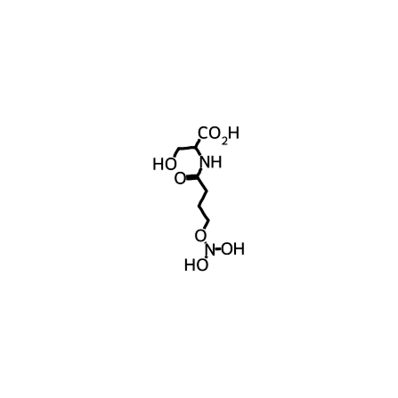 O=C(CCCON(O)O)NC(CO)C(=O)O